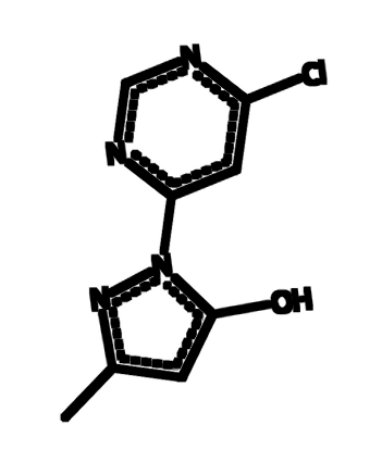 Cc1cc(O)n(-c2cc(Cl)ncn2)n1